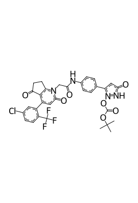 CC(C)(C)OC(=O)On1[nH]c(=O)cc1-c1ccc(NC(=O)Cn2c3c(c(-c4cc(Cl)ccc4C(F)(F)F)cc2=O)C(=O)CC3)cc1